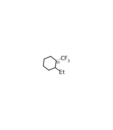 CCC1CCCC[C@@H]1C(F)(F)F